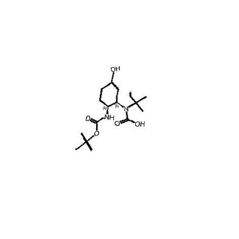 CC(C)(C)OC(=O)N[C@H]1CCC(O)C[C@H]1N(C(=O)O)C(C)(C)C